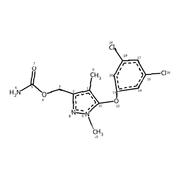 Cc1c(COC(N)=O)nn(C)c1Oc1cc(Cl)cc(Cl)c1